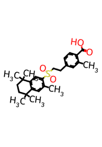 Cc1cc(CCS(=O)(=O)c2cc3c(cc2C)C(C)(C)CCC3(C)C)ccc1C(=O)O